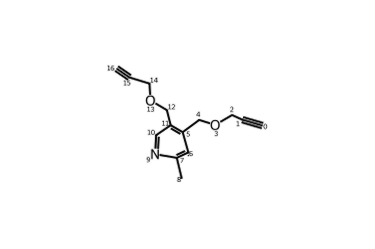 C#CCOCc1[c]c(C)ncc1COCC#C